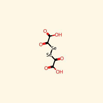 O=C(O)C(=O)[Se][Se]C(=O)C(=O)O